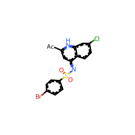 CC(=O)c1cc(=NS(=O)(=O)c2ccc(Br)cc2)c2ccc(Cl)cc2[nH]1